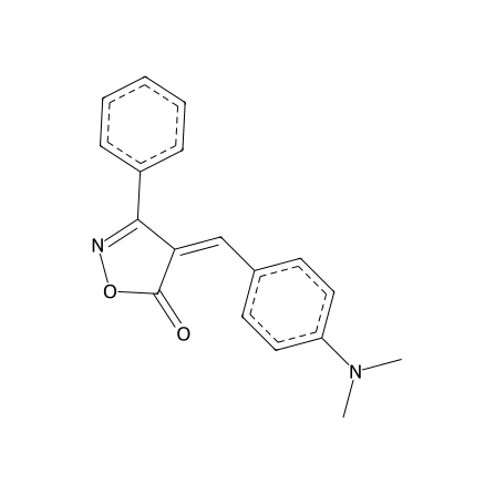 CN(C)c1ccc(C=C2C(=O)ON=C2c2ccccc2)cc1